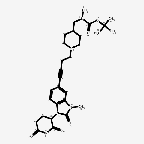 CN(CC1CCN(CCC#Cc2ccc3c(c2)n(C)c(=O)n3C2CCC(=O)NC2=O)CC1)C(=O)OC(C)(C)C